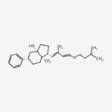 CC(/C=N/OCCN(C)C)=C\[C@H]1CC[C@]2(O)C[C@@H](c3ccccc3)CC[C@]12C